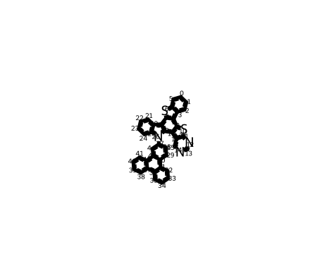 c1ccc2c(c1)sc1c2c2sc3ncncc3c2c2c1c1ccccc1n2-c1ccc2c3ccccc3c3ccccc3c2c1